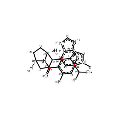 Cn1ccc2cc(C(=O)N3[C@H]4CC[C@H](c5cc(C(F)F)nc6ncnn56)[C@@H]3CC4)c(F)cc21